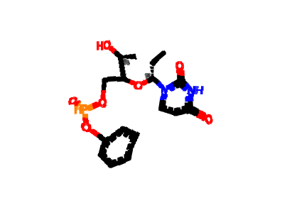 CC[C@@H](OC(CO[PH](=O)Oc1ccccc1)[C@H](C)O)n1ccc(=O)[nH]c1=O